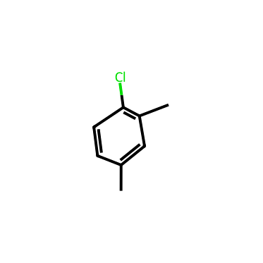 Cc1ccc(Cl)c(C)c1